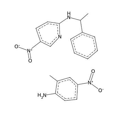 CC(Nc1ccc([N+](=O)[O-])cn1)c1ccccc1.Cc1cc([N+](=O)[O-])ccc1N